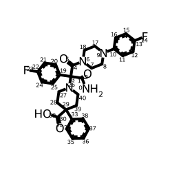 NC(=O)C(C(=O)N1CCN(c2ccc(F)cc2)CC1)(c1ccc(F)cc1)N1CCC(C(=O)O)(c2ccccc2)CC1